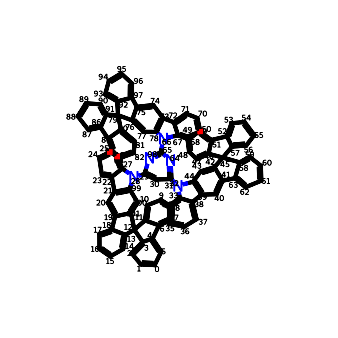 c1ccc2c(c1)-c1ccccc1C21c2ccccc2-c2cc3c4ccccc4n(-c4cc(-n5c6ccccc6c6cc7c(cc65)C5(c6ccccc6-c6ccccc65)c5ccccc5-7)nc(-n5c6ccccc6c6cc7c(cc65)C5(c6ccccc6-c6ccccc65)c5ccccc5-7)n4)c3cc21